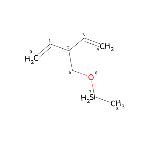 C=CC(C=C)CO[SiH2]C